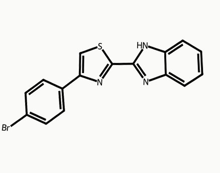 Brc1ccc(-c2csc(-c3nc4ccccc4[nH]3)n2)cc1